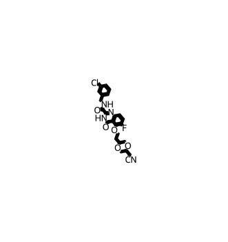 N#CCC1COC(CCOc2c(F)ccc3nc(C(=O)NCc4cccc(Cl)c4)[nH]c(=O)c23)CO1